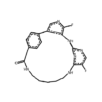 O=C1NCCCCCNc2nc(ncc2F)Nc2cc(cnc2F)-c2ccc1cc2